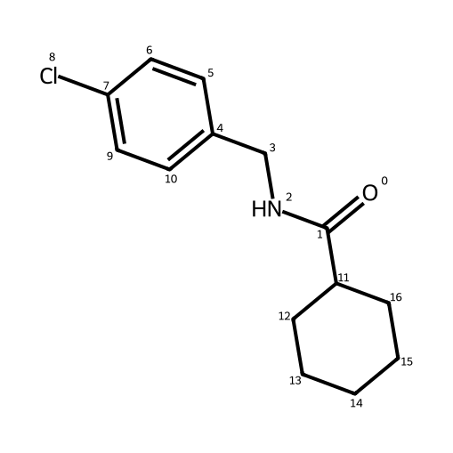 O=C(NCc1ccc(Cl)cc1)C1CCCCC1